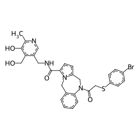 Cc1ncc(CNC(=O)c2ccc3n2Cc2ccccc2N(C(=O)CSc2ccc(Br)cc2)C3)c(CO)c1O